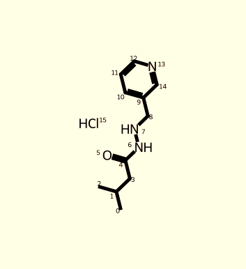 CC(C)CC(=O)NNCc1cccnc1.Cl